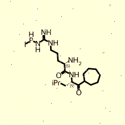 CC(C)C[C@H](NC(=O)[C@@H](N)CCCNC(=N)NPI)C(=O)C1CCCCCC1